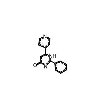 O=c1cc(-c2ccncc2)[nH]c(-c2ccccc2)n1